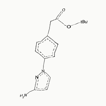 CC(C)(C)OC(=O)Cc1ccc(-n2ccc(N)n2)cc1